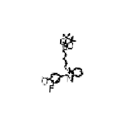 COc1ccc(-c2nc3ccccc3n2CCCCCB2OC(C)(C)C(C)(C)O2)cc1F